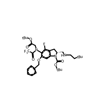 CC(C)(C)CCNC[C@H]1Cc2c(cc(OCc3ccccc3)c(N(CC(=O)OC(C)(C)C)C(=O)C(F)(F)F)c2F)N1C(=O)OC(C)(C)C